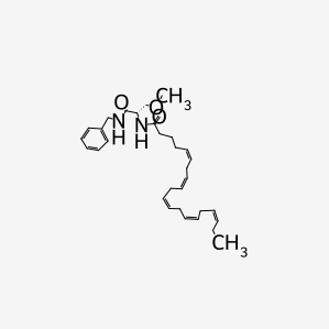 CC/C=C\C/C=C\C/C=C\C/C=C\C/C=C\CCCC(=O)N[C@@H](COC)C(=O)NCc1ccccc1